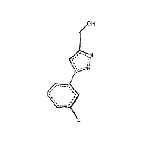 OCc1cn(-c2cccc(F)c2)nn1